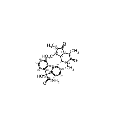 CC1C(=O)N(C)CC2N1C(=O)N(C)N2C(=O)O.NC(=O)C(O)(c1ccccc1)c1ccccc1